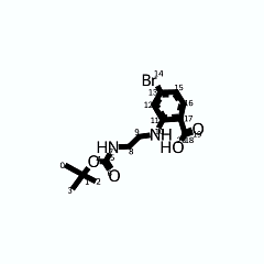 CC(C)(C)OC(=O)NCCNc1cc(Br)ccc1C(=O)O